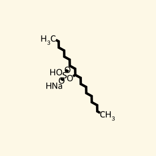 CCCCCCCCCC(CCCCCCCC)OS(=O)(=O)O.[NaH]